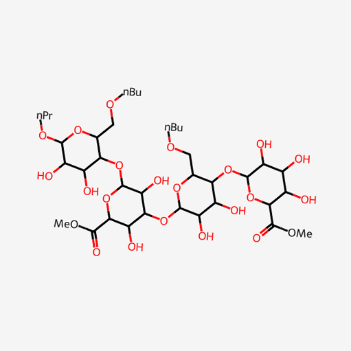 CCCCOCC1OC(OC2C(O)C(OC3C(COCCCC)OC(OCCC)C(O)C3O)OC(C(=O)OC)C2O)C(O)C(O)C1OC1OC(C(=O)OC)C(O)C(O)C1O